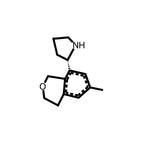 Cc1cc2c(c([C@@H]3CCCN3)c1)COCC2